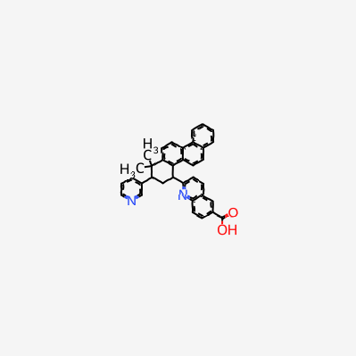 CC1(C)c2ccc3c(ccc4ccccc43)c2C(c2ccc3cc(C(=O)O)ccc3n2)CC1c1cccnc1